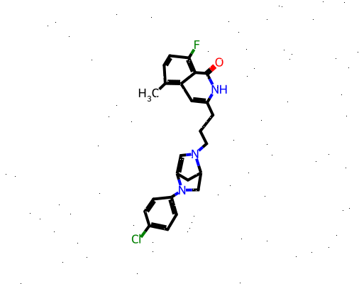 Cc1ccc(F)c2c(=O)[nH]c(CCCN3C=C4CC3CN4c3ccc(Cl)cc3)cc12